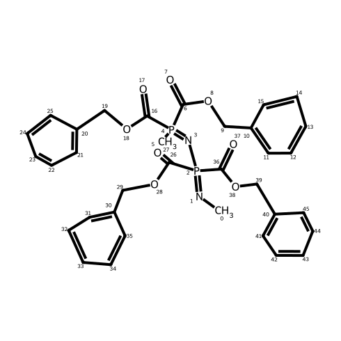 CN=P(N=P(C)(C(=O)OCc1ccccc1)C(=O)OCc1ccccc1)(C(=O)OCc1ccccc1)C(=O)OCc1ccccc1